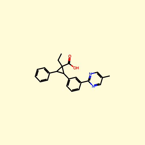 CCC1(C(=O)O)C(c2ccccc2)C1c1cccc(-c2ncc(C)cn2)c1